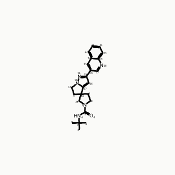 CC(C)(C)NC(=O)N1CCC2(CCn3nc(-c4cnc5ccccc5c4)cc32)C1